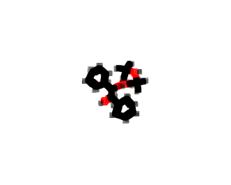 CC(C)(C)OC(C)(C)C.O=C(c1ccccc1)C(O)c1ccccc1